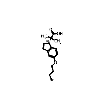 CC(C)(C(=O)O)[C@H]1CCc2cc(OCCCBr)ccc21